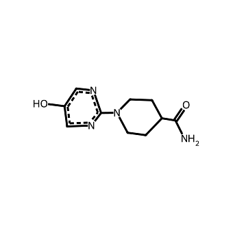 NC(=O)C1CCN(c2ncc(O)cn2)CC1